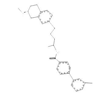 CN[C@H]1CCc2ccc(CCCC(O)NC(=O)c3ccc(-c4cccc(C)c4)cc3)cc2C1